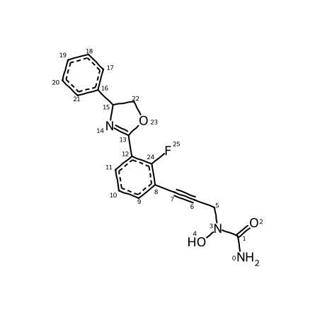 NC(=O)N(O)CC#Cc1cccc(C2=NC(c3ccccc3)CO2)c1F